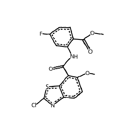 COC(=O)c1ccc(F)cc1NC(=O)c1c(OC)ccc2nc(Cl)sc12